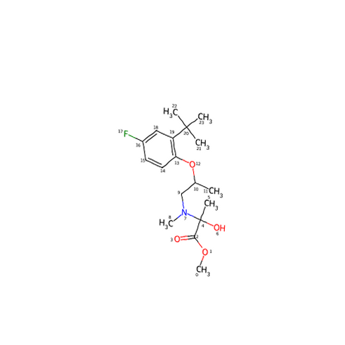 COC(=O)C(C)(O)N(C)CC(C)Oc1ccc(F)cc1C(C)(C)C